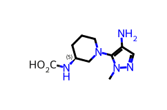 Cn1ncc(N)c1N1CCC[C@H](NC(=O)O)C1